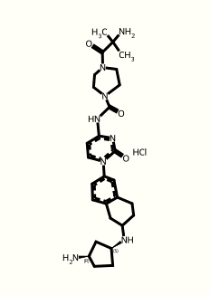 CC(C)(N)C(=O)N1CCN(C(=O)Nc2ccn(-c3ccc4c(c3)CCC(N[C@H]3CC[C@@H](N)C3)C4)c(=O)n2)CC1.Cl